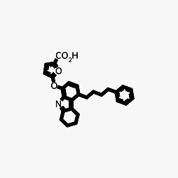 O=C(O)c1ccc(OC2=C3N=C4CCCCC4=C3C(CCCCc3ccccc3)C=C2)o1